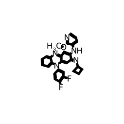 COc1ncccc1Nc1cc2nc3ccccc3n(-c3ccc(F)c(F)c3)c-2c/c1=N\C1CCC1